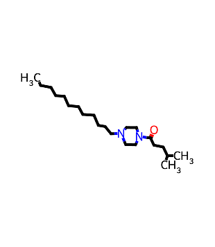 CCCCCCCCCCCCN1CCN(C(=O)CCC(C)C)CC1